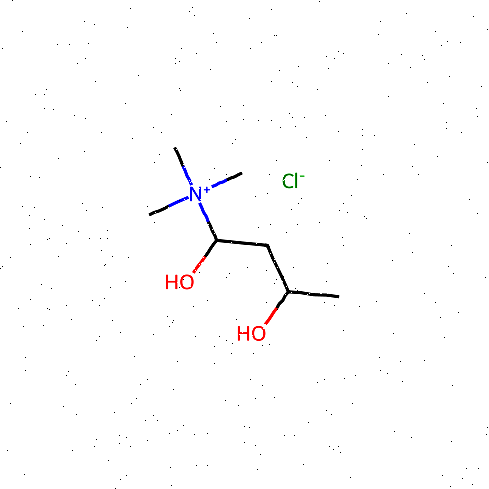 CC(O)CC(O)[N+](C)(C)C.[Cl-]